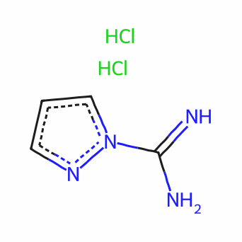 Cl.Cl.N=C(N)n1cccn1